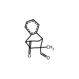 CC1(C=O)CC2C(=O)CC1c1ccccc12